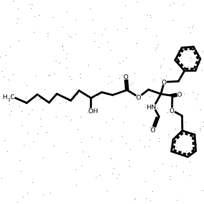 CCCCCCCC(O)CCC(=O)OCC(NC=O)(OCc1ccccc1)C(=O)OCc1ccccc1